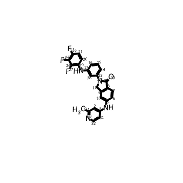 Cc1cc(Nc2ccc3c(c2)CN(c2cccc(Nc4ccc(F)c(F)c4F)c2)C3=O)ccn1